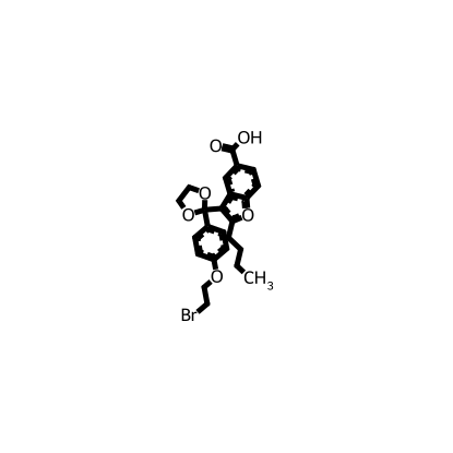 CCCCc1oc2ccc(C(=O)O)cc2c1C1(c2ccc(OCCBr)cc2)OCCO1